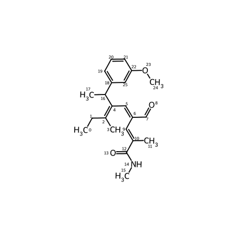 CC/C(C)=C(/C=C(C=O)\C=C(/C)C(=O)NC)C(C)c1cccc(OC)c1